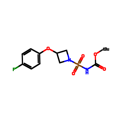 CC(C)(C)OC(=O)NS(=O)(=O)N1CC(Oc2ccc(F)cc2)C1